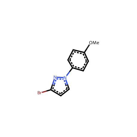 COc1ccc(-n2ccc(Br)n2)cc1